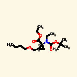 CCCCOC[C@@H]1C[C@@]1(C(=O)OCC)N(CC)C(=O)OC(C)(C)C